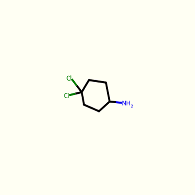 NC1CCC(Cl)(Cl)CC1